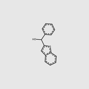 OC(c1ccccc1)c1cc2ccccc2s1